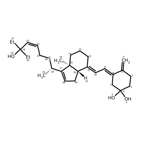 C=C1CCC(O)(O)CC1=CC=C1CCC[C@]2(C)C([C@H](C)SC/C=C\C(O)(CC)CC)=CC[C@@H]12